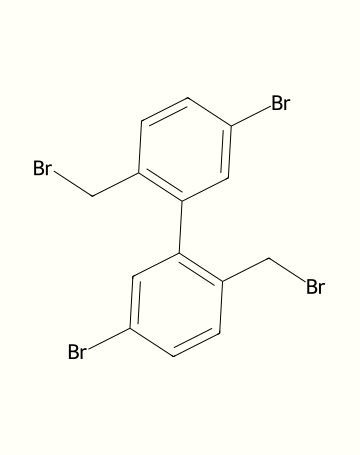 BrCc1ccc(Br)cc1-c1cc(Br)ccc1CBr